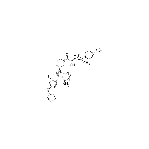 CC(C)(C/C=C(\C#N)C(=O)N1CCC[C@H](n2nc(-c3ccc(Oc4ccccc4)cc3F)c3c(N)ncnc32)C1)N1CCN(C2COC2)CC1